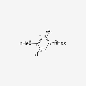 CCCCCCc1cc(I)c(CCCCCC)cc1Br